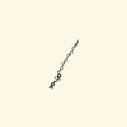 CN(C)c1ccc(C=Cc2nc3ccc(OCCOCCOCCOCCOCCOCCOCCOCCF)cc3o2)cc1